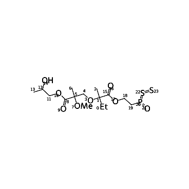 CCC(C)(OCC(C)(OC)C(=O)OCC(C)O)C(=O)OCCP(=O)=S=S